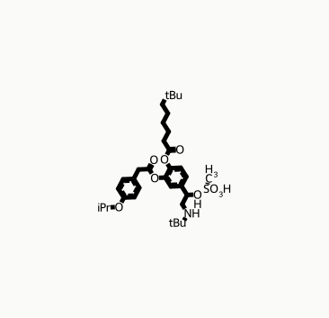 CC(C)Oc1ccc(CC(=O)Oc2cc(C(O)CNC(C)(C)C)ccc2OC(=O)CCCCCC(C)(C)C)cc1.CS(=O)(=O)O